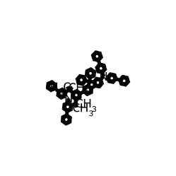 CC1(C)c2cc(-c3ccccc3)ccc2N2c3ccc(-c4ccccc4)cc3C(C)(C)c3cc(-c4ccc5c(c4)C(c4ccccc4)(c4ccccc4)c4cc(N(c6ccc(-c7ccccc7)cc6)c6ccc(-c7ccccc7)cc6)ccc4-5)cc1c32